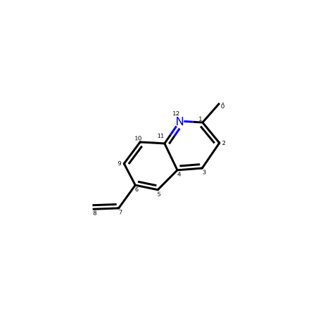 [CH2]c1ccc2cc(C=C)ccc2n1